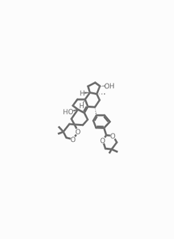 CC1(C)COC(c2ccc([C@H]3C[C@]4(C)[C@@H](O)CC[C@H]4[C@@H]4CC[C@@]5(O)CC6(CCC5=C43)CC(C)(C)COO6)cc2)OC1